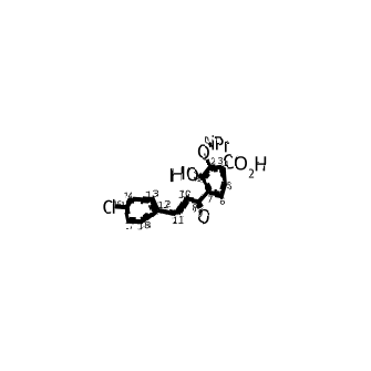 CC(C)Oc1c(C(=O)O)ccc(C(=O)/C=C/c2ccc(Cl)cc2)c1O